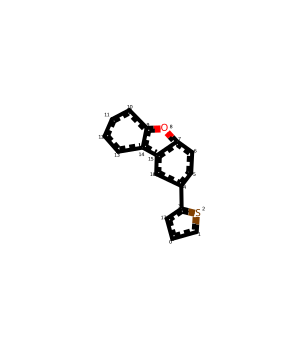 c1csc(-c2ccc3oc4ccccc4c3c2)c1